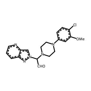 COc1cc(N2CCN(C(C=O)n3cc4ncccc4n3)CC2)ccc1Cl